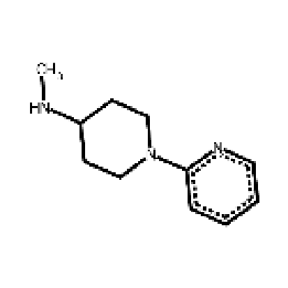 CNC1CCN(c2ccccn2)CC1